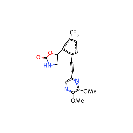 COc1ncc(C#Cc2ccc(C(F)(F)F)cc2C2CNC(=O)O2)nc1OC